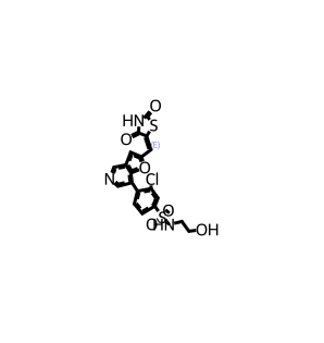 O=C1NC(=O)/C(=C\c2cc3cncc(-c4ccc(S(=O)(=O)NCCO)cc4Cl)c3o2)S1